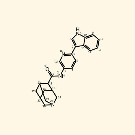 O=C(Nc1ccc(-c2c[nH]c3ccccc23)nc1)C1C2CC3CC1CN(C3)C2